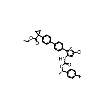 CCOC(=O)C1(c2ccc(-c3ccc(-c4sc(Cl)cc4NC(=O)O[C@H](C)c4ccc(F)cc4)cc3)cc2)CC1